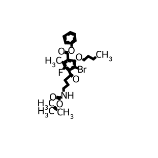 CCCCOc1c(Br)c(C(=O)CCCNC(=O)OC(C)(C)C)c(F)c(C)c1C(=O)Oc1ccccc1